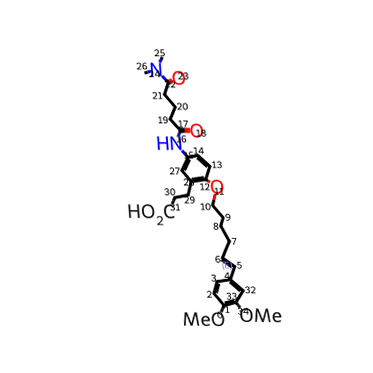 COc1ccc(/C=C/CCCCOc2ccc(NC(=O)CCCC(=O)N(C)C)cc2CCC(=O)O)cc1OC